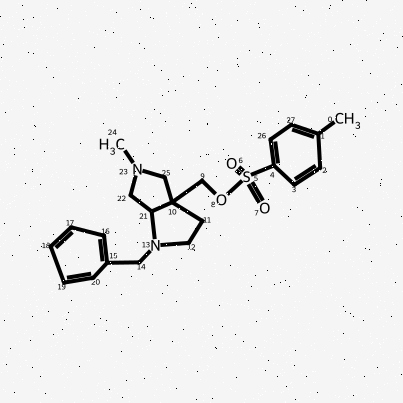 Cc1ccc(S(=O)(=O)OCC23CCN(Cc4ccccc4)C2CN(C)C3)cc1